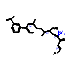 C=CC(/C=C(\N)C(=C)/C=C/C(C)=O)=C(/C)CC/C(C)=C\C(=CC)c1cccc(C(=C)C)c1